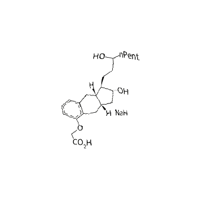 CCCCCC(O)CC[C@@H]1[C@H]2Cc3cccc(OCC(=O)O)c3C[C@H]2C[C@H]1O.[NaH]